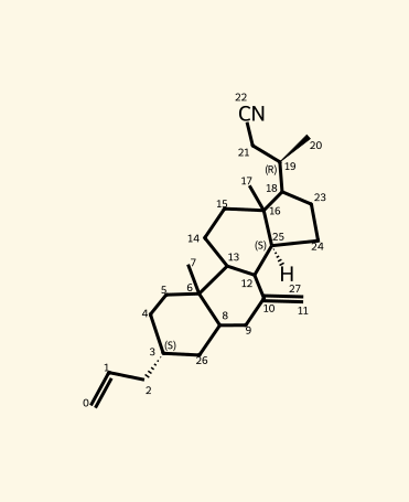 C=CC[C@@H]1CCC2(C)C(CC(=C)C3C2CCC2(C)C([C@H](C)CC#N)CC[C@@H]32)C1